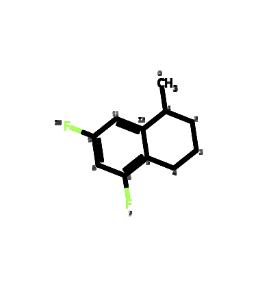 CC1CCCc2c(F)cc(F)cc21